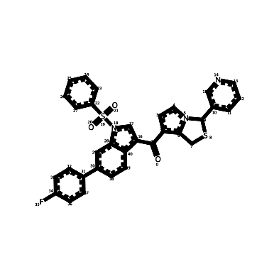 O=C(c1ccn2c1CSC2c1cccnc1)c1cn(S(=O)(=O)c2ccccc2)c2cc(-c3ccc(F)cc3)ccc12